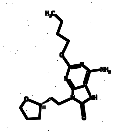 CCCCOc1nc(N)c2[nH]c(=O)n(CC[C@@H]3CCCO3)c2n1